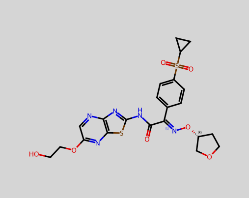 O=C(Nc1nc2ncc(OCCO)nc2s1)/C(=N/O[C@@H]1CCOC1)c1ccc(S(=O)(=O)C2CC2)cc1